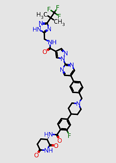 CC(C)(c1n[nH]c(CNC(=O)c2cnn(-c3ncc(-c4ccc(CN5CCC(c6ccc(C(=O)N[C@H]7CCC(=O)NC7=O)c(F)c6)CC5)cc4)cn3)c2)n1)C(F)(F)F